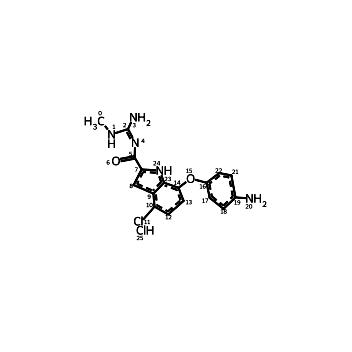 CNC(N)=NC(=O)c1cc2c(Cl)ccc(Oc3ccc(N)cc3)c2[nH]1.Cl